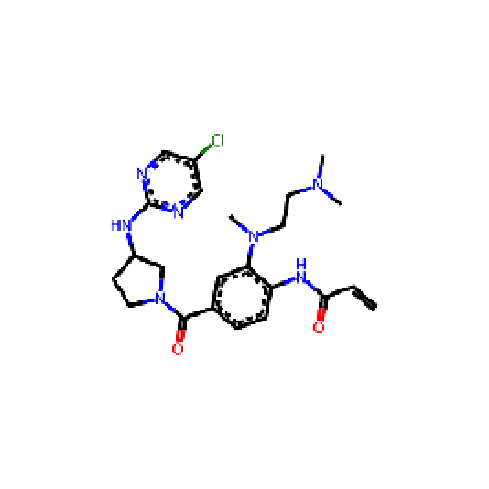 C=CC(=O)Nc1ccc(C(=O)N2CCC(Nc3ncc(Cl)cn3)C2)cc1N(C)CCN(C)C